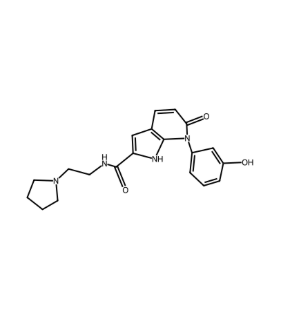 O=C(NCCN1CCCC1)c1cc2ccc(=O)n(-c3cccc(O)c3)c2[nH]1